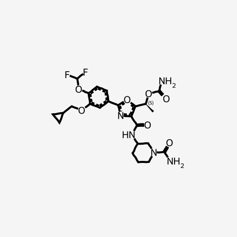 C[C@H](OC(N)=O)c1oc(-c2ccc(OC(F)F)c(OCC3CC3)c2)nc1C(=O)NC1CCCN(C(N)=O)C1